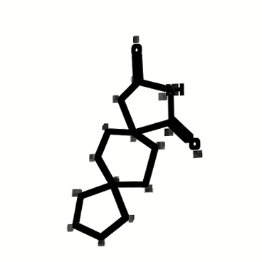 O=C1CC2(CCC3(CCCC3)CC2)C(=O)N1